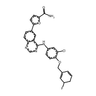 NC(=O)c1ccc(-c2ccc3ncnc(Nc4ccc(OCC5=CC(F)CC=C5)c(Cl)c4)c3c2)o1